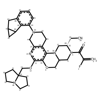 C=C(F)C(=O)N1CC2COc3c(OCC45CCCN4CCC5)nc4c(c3N2C[C@@H]1CC#N)CCN(c1cccc2c1C1CC1C2)C4